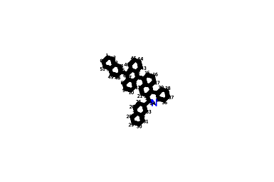 c1ccc2cc(-c3c4ccccc4c(-c4cccc5c4ccc4c(-c6ccc7ccccc7c6)nc6ccccc6c45)c4ccccc34)ccc2c1